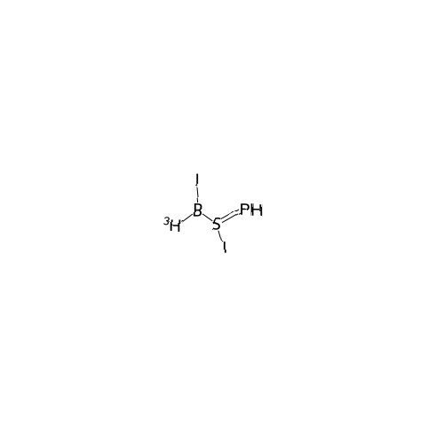 [3H]B(I)S(=P)I